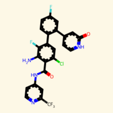 Nc1c(F)c(-c2ccc(F)cc2-c2cc[nH]c(=O)c2)cc(Cl)c1C(=O)Nc1ccnc(C(F)(F)F)c1